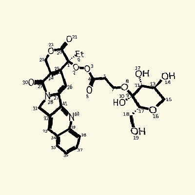 CC[C@@]1(OOC(=O)CCO[C@@]2(O)[C@H](O)[C@@H](O)CO[C@@H]2CO)C(=O)OCc2c1cc1n(c2=O)Cc2cc3ccccc3nc2-1